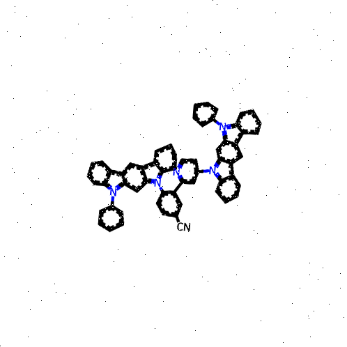 N#Cc1ccc(-n2c3ccccc3c3cc4c5ccccc5n(-c5ccccc5)c4cc32)c(-c2cc(-n3c4ccccc4c4cc5c6ccccc6n(-c6ccccc6)c5cc43)ccn2)c1